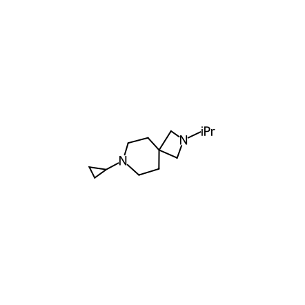 CC(C)N1CC2(CCN(C3CC3)CC2)C1